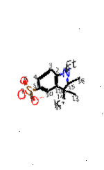 CCN1c2ccc(S(=O)(=O)[O-])cc2C(C)(C)C1C.[K+]